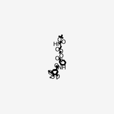 COc1cc(C(=O)NC2CCCN(C(=O)OCOC(=O)CNC(=O)OC(C)(C)C)C2)cc(OC)c1OC